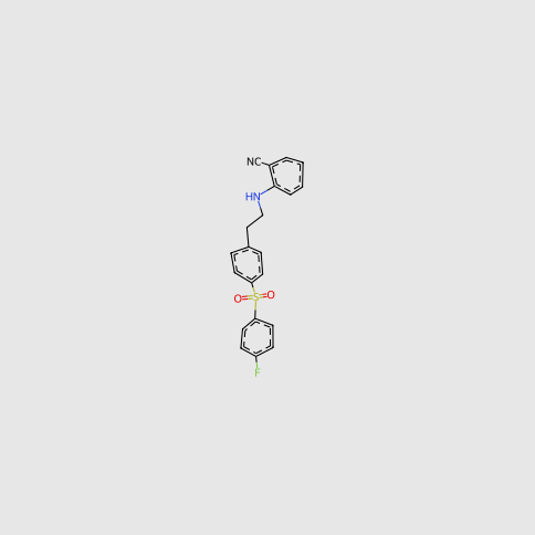 N#Cc1ccccc1NCCc1ccc(S(=O)(=O)c2ccc(F)cc2)cc1